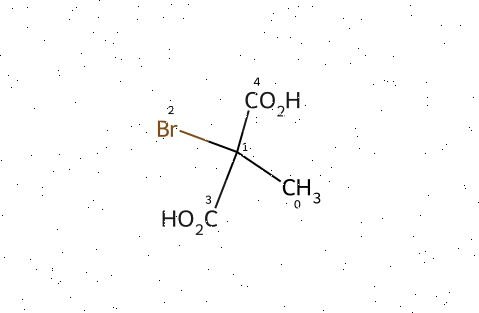 CC(Br)(C(=O)O)C(=O)O